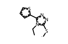 [CH2]Sc1nnc(-c2cccs2)n1CC